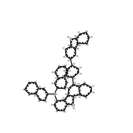 c1ccc2cc(N(c3ccc4ccccc4c3)c3cccc4oc5c6ccccc6c(-c6ccc(-c7ccc8sc9ccccc9c8c7)cc6)cc5c34)ccc2c1